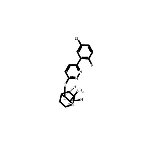 CCc1ccc(F)c(-c2ccc(O[C@@H]3C4CCN(CC4)[C@H]3C)nn2)c1